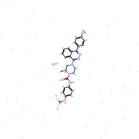 C[C@H]1CN(c2nnc(-c3ccc(C#N)cc3)c3ccccc23)CCN1C(=O)Nc1ccc(OC(F)F)cc1.Cl